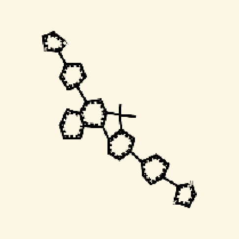 CC1(C)c2cc(-c3ccc(-c4nccs4)cc3)ccc2-c2c1cc(-c1ccc(-c3nccs3)cc1)c1ccccc21